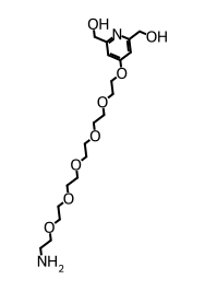 NCCOCCOCCOCCOCCOCCOc1cc(CO)nc(CO)c1